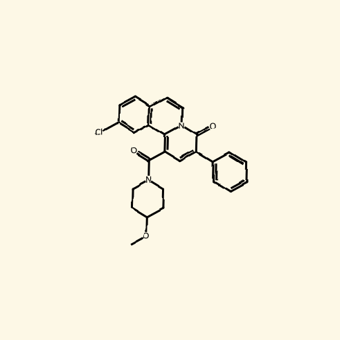 COC1CCN(C(=O)c2cc(-c3ccccc3)c(=O)n3ccc4ccc(Cl)cc4c23)CC1